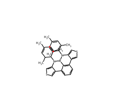 CC1=CC(C)C(N2B3c4c(cccc4-c4cscc42)-c2cscc2N3c2c(C)cc(C)cc2C)C(C)=C1